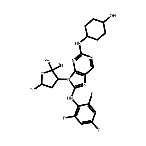 [2H]C1CC(n2c(Nc3c(F)cc(F)cc3F)nc3cnc(NC4CCC(O)CC4)nc32)C([2H])([2H])O1